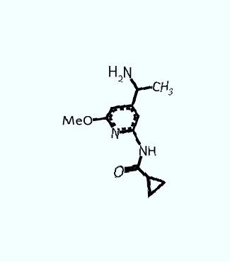 COc1cc(C(C)N)cc(NC(=O)C2CC2)n1